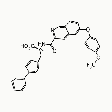 O=C(N[C@@H](Cc1ccc(-c2ccccc2)cc1)C(=O)O)c1cc2cc(Oc3ccc(OC(F)(F)F)cc3)ccc2cn1